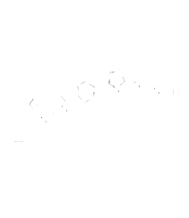 CN1CCN(c2nc(-c3ccc(C(=O)NC(C=O)(C4CCCCC4)N4CC(C(F)=CF)C5OCC(=O)C54)cc3)c(F)s2)CC1